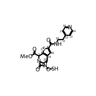 COC(=O)C1c2sc(C(=O)NCCc3ccncc3)cc2C2CN1C(=O)N2OS